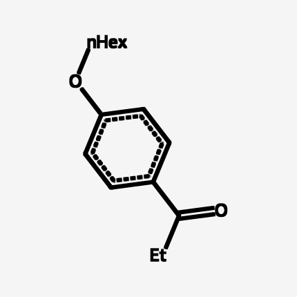 CCCCCCOc1ccc(C(=O)CC)cc1